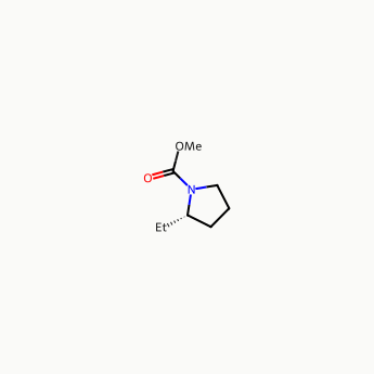 CC[C@H]1CCCN1C(=O)OC